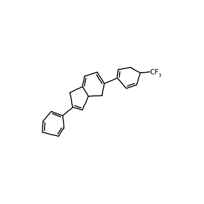 FC(F)(F)C1C=CC(C2=CC=C3CC(c4ccccc4)=CC3C2)=CC1